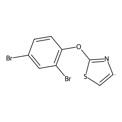 Brc1ccc(Oc2n[c]cs2)c(Br)c1